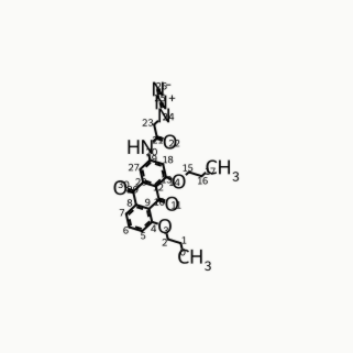 CCCOc1cccc2c1C(=O)c1c(OCCC)cc(NC(=O)CN=[N+]=[N-])cc1C2=O